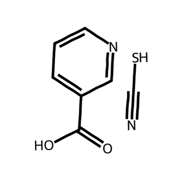 N#CS.O=C(O)c1cccnc1